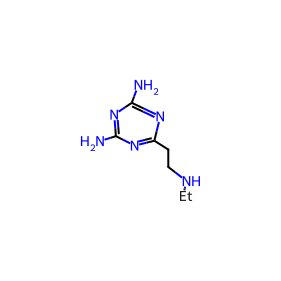 CCNCCc1nc(N)nc(N)n1